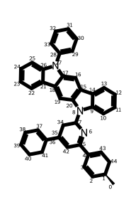 C[C@H]1C=CC(C2=NC(n3c4ccccc4c4cc5c(cc43)c3ccccc3n5-c3ccccc3)CC(C3=CC=CCC3)=C2)=CC1